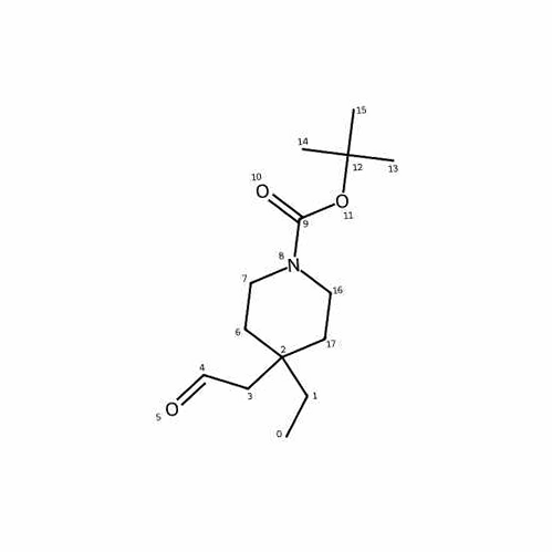 CCC1(CC=O)CCN(C(=O)OC(C)(C)C)CC1